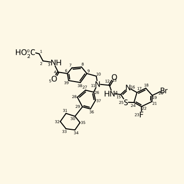 O=C(O)CCNC(=O)c1ccc(CN(C(=O)Nc2nc3cc(Br)cc(F)c3s2)c2ccc(C3CCCCC3)cc2)cc1